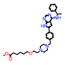 COC(=O)CCCCCOCCN1CCN(Cc2ccc(-c3cc4c(NC(C)c5ccccc5)ncnc4[nH]3)cc2)CC1